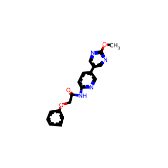 COc1ncc(-c2ccc(NC(=O)COc3ccccc3)nc2)cn1